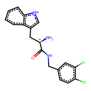 N[C@H](Cc1c[nH]c2ccccc12)C(=O)NCc1ccc(Cl)c(Cl)c1